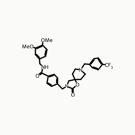 COc1ccc(CNC(=O)c2ccc(CN3CC4(CCN(Cc5ccc(C(F)(F)F)cc5)CC4)OC3=O)cc2)cc1OC